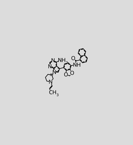 CC=CN1CCC[C@@H](n2cc(-c3ccc(NC(=O)c4cccc5ccccc45)c4c3OCO4)c3c(N)ncnc32)C1